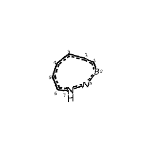 b1cccccc[nH]n1